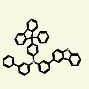 c1ccc(-c2cccc(N(c3ccc(C4(c5ccccc5)c5ccccc5-c5ccccc54)cc3)c3cccc(-c4ccc5sc6ccccc6c5c4)c3)c2)cc1